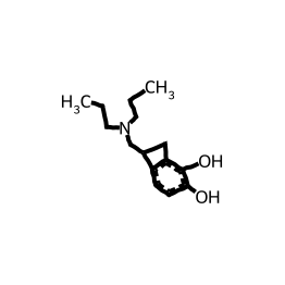 CCCN(CCC)CC1Cc2c1ccc(O)c2O